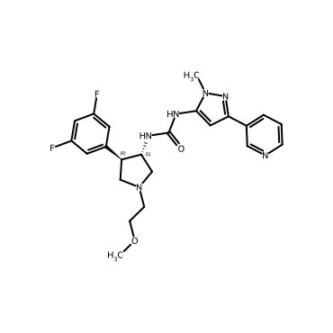 COCCN1C[C@@H](NC(=O)Nc2cc(-c3cccnc3)nn2C)[C@H](c2cc(F)cc(F)c2)C1